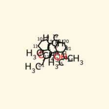 CCC(=O)C=C(C1=C(C)CCCC1(C)C)C1(O)CC(C)CCC1C(C)C